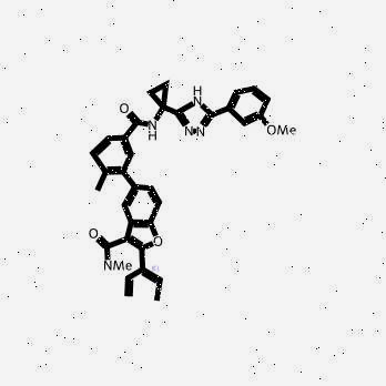 C=C/C(=C\C)c1oc2ccc(-c3cc(C(=O)NC4(c5nnc(-c6cccc(OC)c6)[nH]5)CC4)ccc3C)cc2c1C(=O)NC